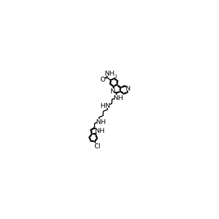 NC(=O)c1ccc2c(c1)nc(NCCNCCCCNCc1cc3ccc(Cl)cc3[nH]1)c1ccncc12